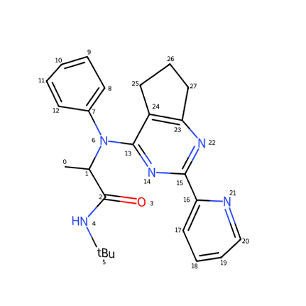 CC(C(=O)NC(C)(C)C)N(c1ccccc1)c1nc(-c2ccccn2)nc2c1CCC2